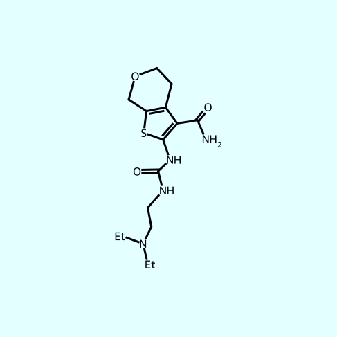 CCN(CC)CCNC(=O)Nc1sc2c(c1C(N)=O)CCOC2